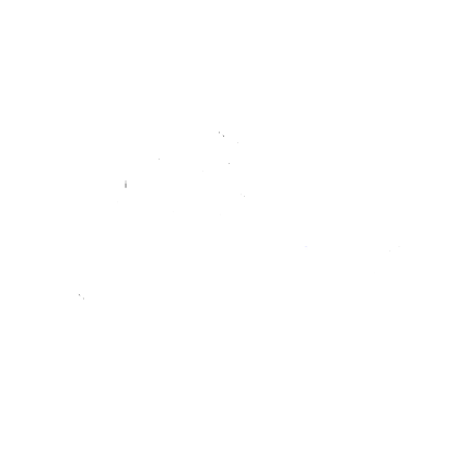 CC(C)CC(C)(C)/C=C/COC(=O)C(C)(N)C(C)(C)C(OC(=O)CCCN(C)C)C(C)(C)C(C)C